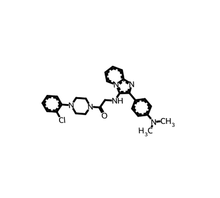 CN(C)c1ccc(-c2nc3ccccn3c2NCC(=O)N2CCN(c3ccccc3Cl)CC2)cc1